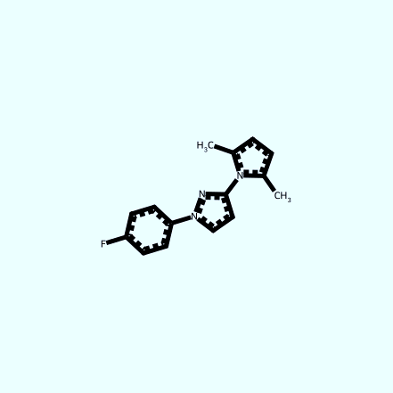 Cc1ccc(C)n1-c1ccn(-c2ccc(F)cc2)n1